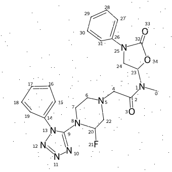 CN(C(=O)CN1CCN(c2nnnn2-c2ccccc2)C(F)C1)C1CN(c2ccccc2)C(=O)O1